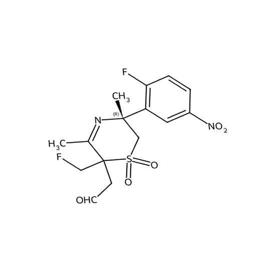 CC1=N[C@](C)(c2cc([N+](=O)[O-])ccc2F)CS(=O)(=O)C1(CF)CC=O